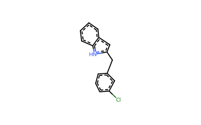 Clc1cccc(Cc2cc3ccccc3[nH]2)c1